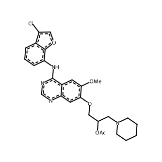 COc1cc2c(Nc3cccc4c(Cl)coc34)ncnc2cc1OCC(CN1CCCCC1)OC(C)=O